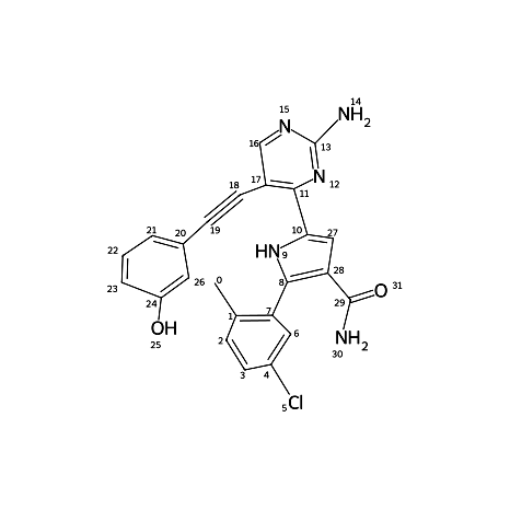 Cc1ccc(Cl)cc1-c1[nH]c(-c2nc(N)ncc2C#Cc2cccc(O)c2)cc1C(N)=O